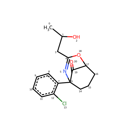 CC(O)CC1=NC2(c3ccccc3Cl)CCCC(O1)C2=O